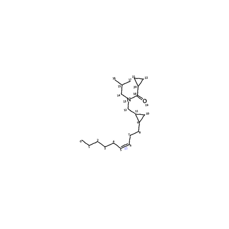 CCCCC/C=C\CCC1CC1CN(CC(C)C)C(=O)C1CC1